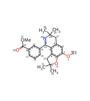 CCOc1cc2c(c3c1OC(C)(C)C3)C(c1cccc(C(=O)OC)c1)=NC(C)(C)C2